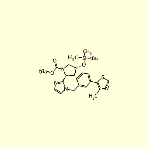 Cc1ncsc1-c1cccc(Cn2ccnc2[C@@H]2C[C@@H](O[Si](C)(C)C(C)(C)C)CN2C(=O)OC(C)(C)C)c1